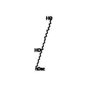 CCCCCCCCCCCCCCCCCCCC[C](O)CCCCCCCCCCCCCCCCCCCO